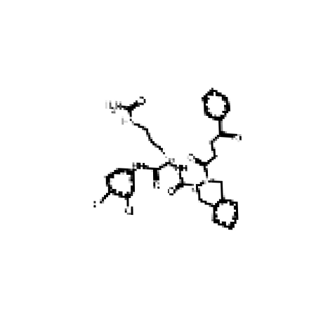 NC(=O)NCCC[C@H](NC(=O)[C@@H]1Cc2ccccc2CN1C(=O)CCC(=O)c1ccccc1)C(=O)Nc1ccc(Cl)c(Cl)c1